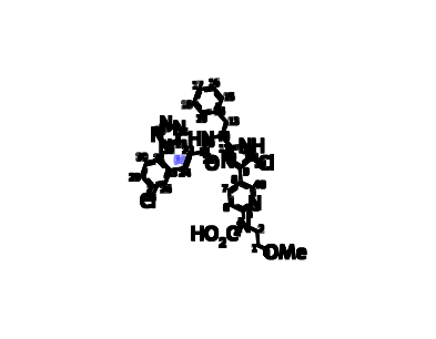 COCCN(C(=O)O)c1ccc(-c2nc([C@H](Cc3ccccc3)NC(=O)/C=C/c3cc(Cl)ccc3-n3cnnn3)[nH]c2Cl)cn1